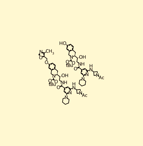 CC(=O)N1CC(Nc2cc(C(=O)NC[C@@H](O)[C@@H]3Cc4ccc(O)cc4CN3C(=O)OC(C)(C)C)cc(N3CCCCC3)n2)C1.CC(=O)N1CC(Nc2cc(C(=O)NC[C@@H](O)[C@@H]3Cc4ccc(OCc5ocnc5C)cc4CN3C(=O)OC(C)(C)C)cc(N3CCCCC3)n2)C1